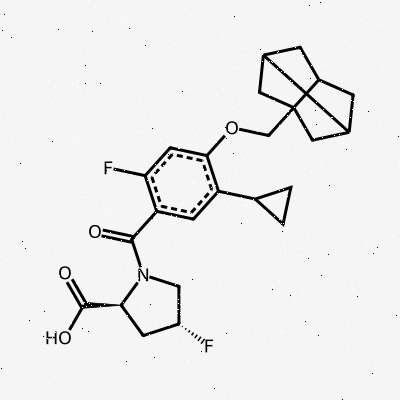 O=C(O)[C@@H]1C[C@@H](F)CN1C(=O)c1cc(C2CC2)c(OCC23CC4CC2CC4C3)cc1F